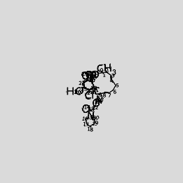 C[C@@H]1C/C=C/CC/C=C/C(=NOCC(=O)N2CCCCC2)Cc2c(Cl)c(O)cc(O)c2C(=O)O1